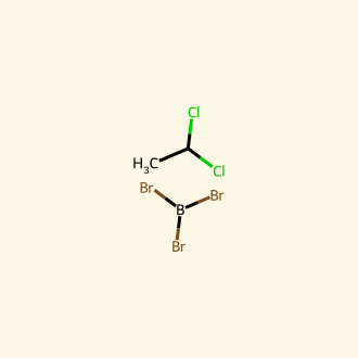 BrB(Br)Br.CC(Cl)Cl